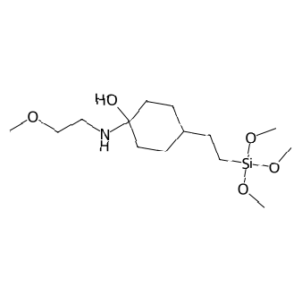 COCCNC1(O)CCC(CC[Si](OC)(OC)OC)CC1